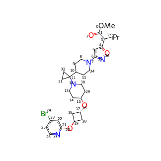 COC(=O)C(c1cc(N2CCC(C3(N4CCC(O[C@H]5C[C@H](Oc6cc(Br)ccn6)C5)CC4)CC3)CC2)no1)C(C)C